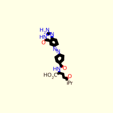 CC(C)C(=O)CCC(NC(=O)c1ccc(/N=N/c2ccc3nc(N)[nH]c(=O)c3c2)cc1)C(=O)O